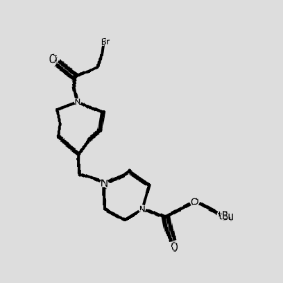 CC(C)(C)OC(=O)N1CCN(CC2CCN(C(=O)CBr)CC2)CC1